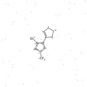 CCn1nc(C(F)(F)F)cc1C1=CCCC1